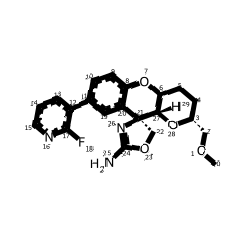 COC[C@H]1CCC2Oc3ccc(-c4cccnc4F)cc3[C@@]3(COC(N)=N3)[C@H]2O1